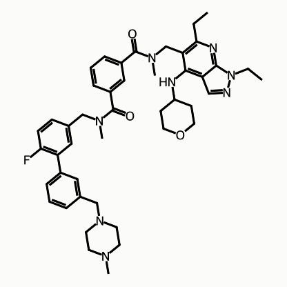 CCc1nc2c(cnn2CC)c(NC2CCOCC2)c1CN(C)C(=O)c1cccc(C(=O)N(C)Cc2ccc(F)c(-c3cccc(CN4CCN(C)CC4)c3)c2)c1